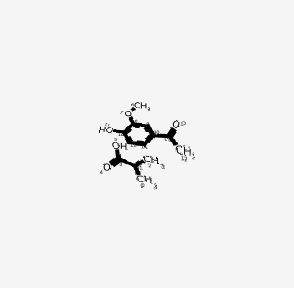 CC(C)C(=O)O.COc1cc(C(C)=O)ccc1O